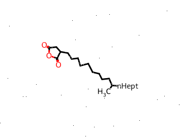 CCCCCCCC(C)CCCCCCCCCC1CC(=O)OC1=O